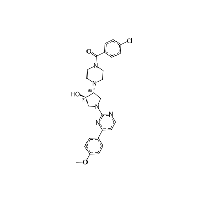 COc1ccc(-c2ccnc(N3C[C@@H](O)[C@H](N4CCN(C(=O)c5ccc(Cl)cc5)CC4)C3)n2)cc1